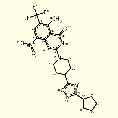 Cc1c(C(F)(F)F)cc([N+](=O)[O-])c2sc(N3CCC(c4nc(C5CCCC5)no4)CC3)nc(=O)c12